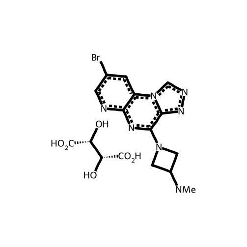 CNC1CN(c2nc3ncc(Br)cc3n3cnnc23)C1.O=C(O)[C@H](O)[C@@H](O)C(=O)O